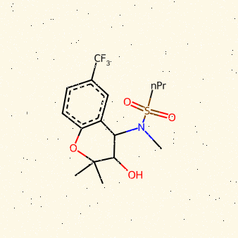 CCCS(=O)(=O)N(C)C1c2cc(C(F)(F)F)ccc2OC(C)(C)C1O